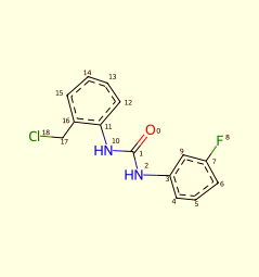 O=C(Nc1cccc(F)c1)Nc1ccccc1CCl